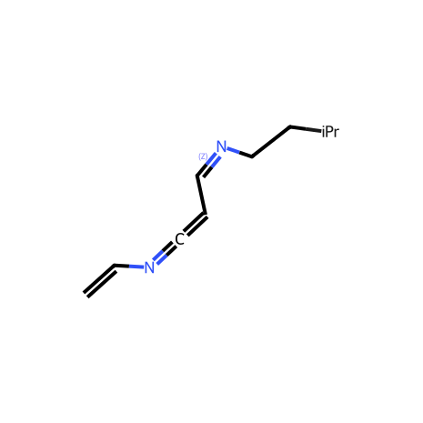 C=CN=C=C/C=N\CCC(C)C